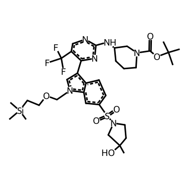 CC1(O)CCN(S(=O)(=O)c2ccc3c(-c4nc(N[C@H]5CCCN(C(=O)OC(C)(C)C)C5)ncc4C(F)(F)F)cn(COCC[Si](C)(C)C)c3c2)C1